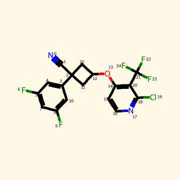 N#CC1(c2cc(F)cc(F)c2)CC(Oc2ccnc(Cl)c2C(F)(F)F)C1